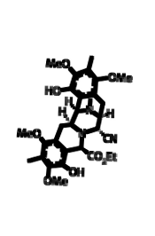 CCOC(=O)[C@H]1c2c(O)c(OC)c(C)c(OC)c2C[C@H]2[C@H]3c4c(O)c(OC)c(C)c(OC)c4C[C@@H]([C@H](C#N)N12)N3C